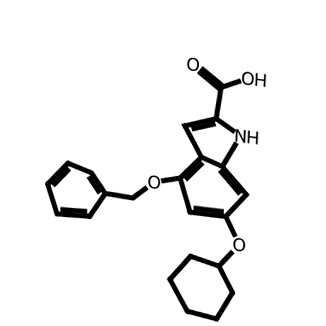 O=C(O)c1cc2c(OCc3ccccc3)cc(OC3CCCCC3)cc2[nH]1